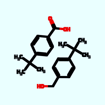 CC(C)(C)c1ccc(C(=O)O)cc1.CC(C)(C)c1ccc(CO)cc1